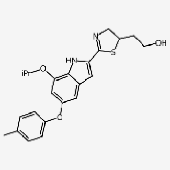 Cc1ccc(Oc2cc(OC(C)C)c3[nH]c(C4=NCC(CCO)S4)cc3c2)cc1